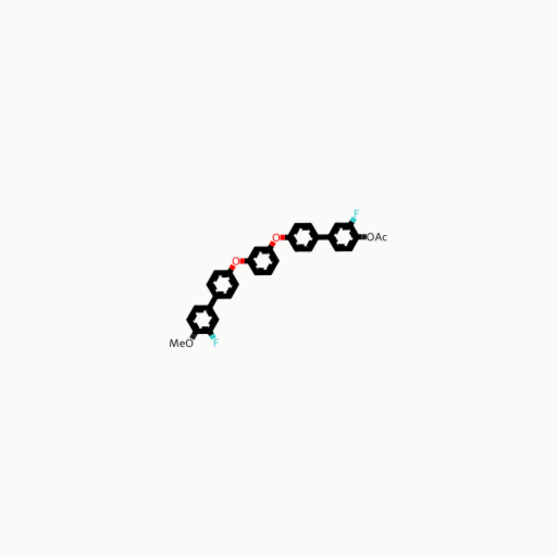 COc1ccc(-c2ccc(Oc3cccc(Oc4ccc(-c5ccc(OC(C)=O)c(F)c5)cc4)c3)cc2)cc1F